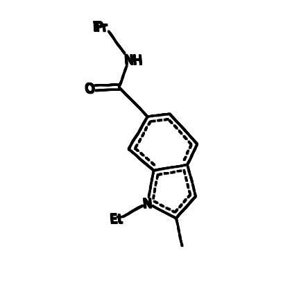 CCn1c(C)cc2ccc(C(=O)NC(C)C)cc21